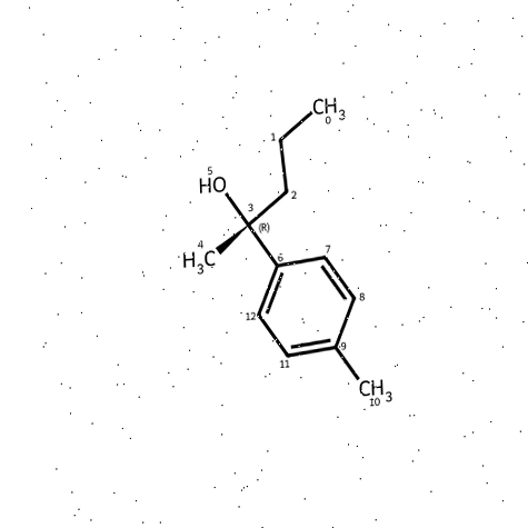 CCC[C@@](C)(O)c1ccc(C)cc1